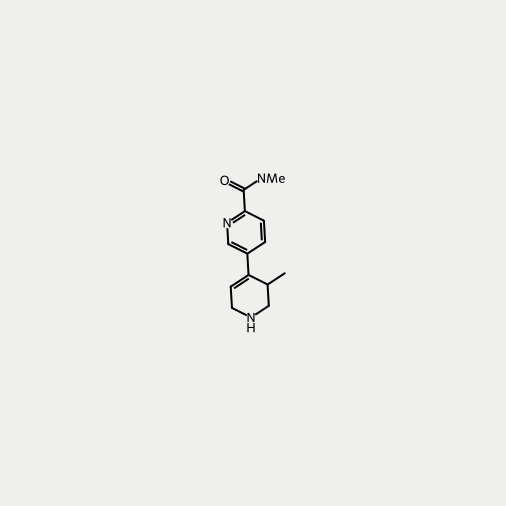 CNC(=O)c1ccc(C2=CCNCC2C)cn1